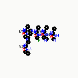 CCn1nc(-c2ccccc2)cc(N(c2cccc3ncccc23)c2cccc3ncccc23)c1=O.CCn1nc(-c2ccccc2)cc(Nc2cccc(F)c2)c1=O.CCn1nc(-c2ccccc2)cc(Nc2cccc3ccccc23)c1=O.CCn1nc(-c2ccccc2)cc(Nc2cccc3ncccc23)c1=O.CCn1nc(-c2ccccc2)cc(Nc2cccnc2)c1=O